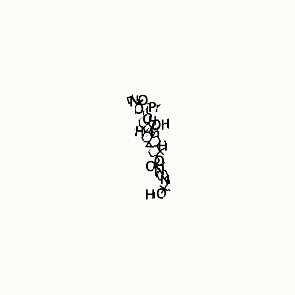 CC(C)[C@@H](OC(=O)N1CCC1)[C@H]1C[C@@H](C)[C@H]2[C@H](O1)[C@H](O)[C@@]1(C)[C@@H]3CC[C@H]4C(C)(C)[C@@H](OC(=O)N5CCN(CC(C)(C)O)CC5)CC[C@@]45CC35CC[C@]21C